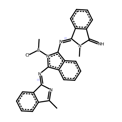 CB(Cl)n1c(/N=C2\N=C(C)c3ccccc32)c2ccccc2c1/N=C1/c2ccccc2C(=N)N1C